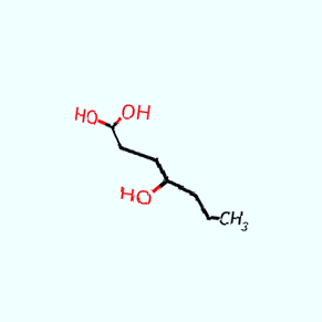 CCCC(O)CCC(O)O